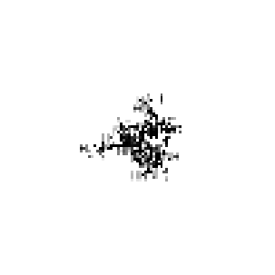 N=C(N)NCCC[C@H](NC(=O)[C@H](CCCNC(=N)N)NC(=O)[C@H](CCCNC(=N)N)NC(=O)[C@H](CCCNC(=N)N)NC(=O)[C@H](CCCNC(=N)N)NC(=O)[C@@H](N)CCCNC(=N)N)C(=O)O